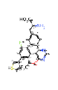 N[C@@H](Cc1ccc(-c2cc(OC(c3ccc(F)cc3-c3ccsc3)C(F)(F)F)ncn2)cc1)C(=O)O